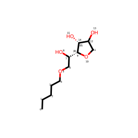 CCCCCOCC(O)[C@H]1OCC(O)[C@H]1O